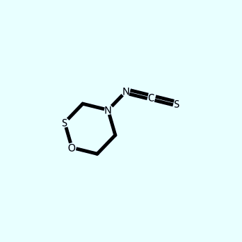 S=C=NN1CCOSC1